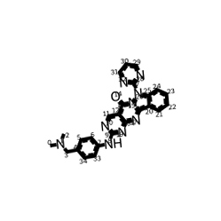 CN(C)Cc1ccc(Nc2ncc3c(=O)n4c(nc3n2)c2ccccc2n4-c2ncccn2)cc1